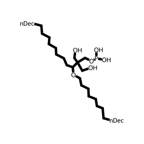 CCCCCCCCCCCCCCCCCCOC(CCCCCCCCCCCCCCCCCC)C(CO)(CO)COP(O)O